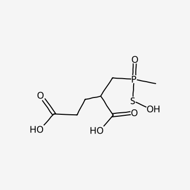 CP(=O)(CC(CCC(=O)O)C(=O)O)SO